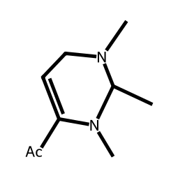 CC(=O)C1=CCN(C)C(C)N1C